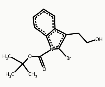 CC(C)(C)OC(=O)n1c(Br)c(CCO)c2ccccc21